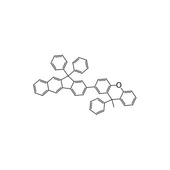 CC1(c2ccccc2)c2ccccc2Oc2ccc(-c3ccc4c(c3)C(c3ccccc3)(c3ccccc3)c3cc5ccccc5cc3-4)cc21